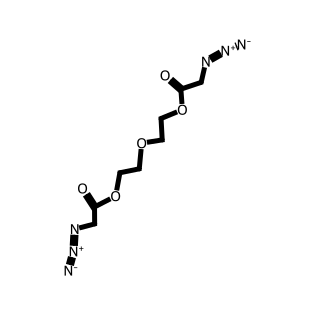 [N-]=[N+]=NCC(=O)OCCOCCOC(=O)CN=[N+]=[N-]